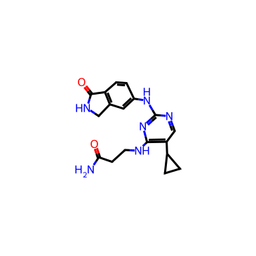 NC(=O)CCNc1nc(Nc2ccc3c(c2)CNC3=O)ncc1C1CC1